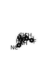 Cc1cc(-c2ccc(F)cc2)cc(C)c1Oc1nc(Nc2ccc(C#N)cc2)nc2ccn(C)c12